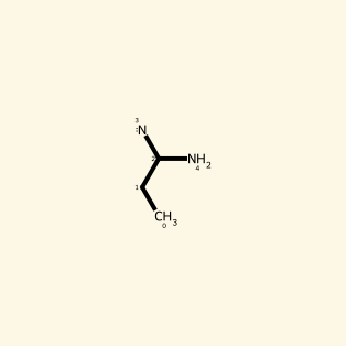 CCC([N])N